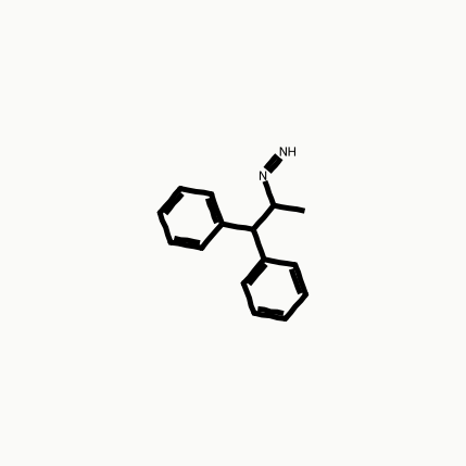 CC(N=N)C(c1ccccc1)c1ccccc1